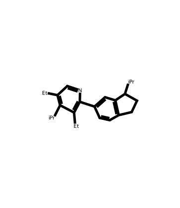 CCc1cnc(-c2ccc3c(c2)C(C(C)C)CC3)c(CC)c1C(C)C